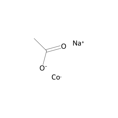 CC(=O)[O-].[Co].[Na+]